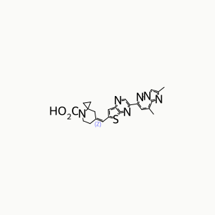 Cc1cn2nc(-c3cnc4cc(/C=C5/CCN(C(=O)O)C6(CC6)C5)sc4n3)cc(C)c2n1